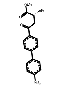 CCC[C@H](CC(=O)c1ccc(-c2ccc(N)cc2)cc1)C(=O)OC